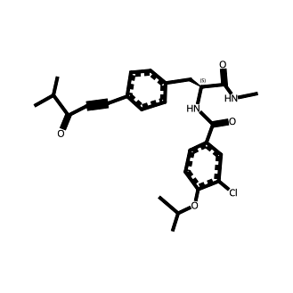 CNC(=O)[C@H](Cc1ccc(C#CC(=O)C(C)C)cc1)NC(=O)c1ccc(OC(C)C)c(Cl)c1